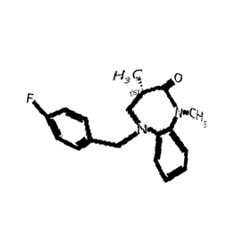 C[C@H]1CN(Cc2ccc(F)cc2)c2ccccc2N(C)C1=O